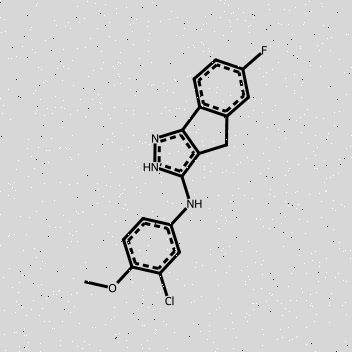 COc1ccc(Nc2[nH]nc3c2Cc2cc(F)ccc2-3)cc1Cl